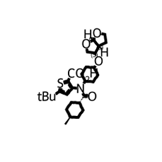 CC(C)(C)c1cc(N(C(=O)[C@H]2CC[C@H](C)CC2)C2CCC(O[C@@H]3CO[C@H]4OCC[C@H]43)CC2)c(C(=O)O)s1